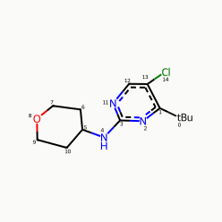 CC(C)(C)c1nc(NC2CCOCC2)ncc1Cl